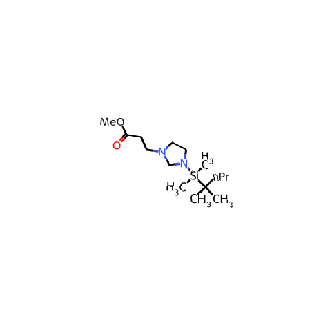 CCCC(C)(C)[Si](C)(C)N1CCN(CCC(=O)OC)C1